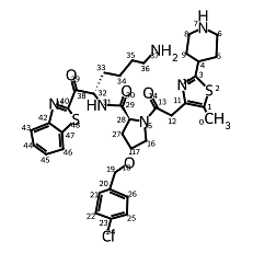 Cc1sc(C2CCNCC2)nc1CC(=O)N1C[C@H](OCc2ccc(Cl)cc2)C[C@H]1C(=O)N[C@@H](CCCCN)C(=O)c1nc2ccccc2s1